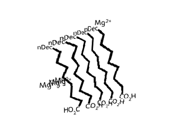 CCCCCCCCCCCCCCCCCC(=O)O.CCCCCCCCCCCCCCCCCC(=O)O.CCCCCCCCCCCCCCCCCC(=O)O.CCCCCCCCCCCCCCCCCC(=O)O.CCCCCCCCCCCCCCCCCC(=O)O.[Mg+2].[Mg+2].[Mg+2].[Mg+2]